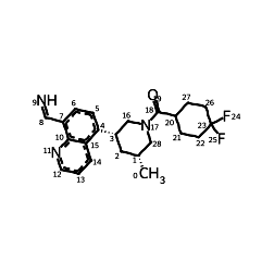 C[C@@H]1C[C@H](c2ccc(C=N)c3ncccc23)CN(C(=O)C2CCC(F)(F)CC2)C1